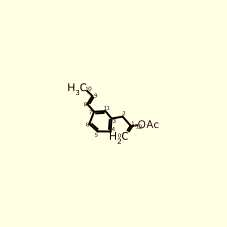 C=C(Cc1cccc(C=CC)c1)OC(C)=O